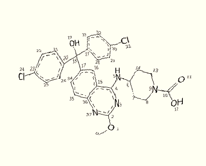 COc1nc(NC2CCN(C(=O)O)CC2)c2cc(C(O)(c3ccc(Cl)cc3)c3ccc(Cl)cc3)ccc2n1